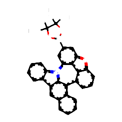 CC1(C)OB(c2cc3oc4cccc5c4c3c(c2)n2c3ccccc3c3cc4ccccc4c5c32)OC1(C)C